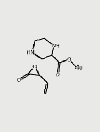 C=CC1OC1=O.CC(C)(C)OC(=O)C1CNCCN1